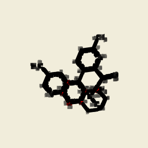 Cc1ccc(OC2CC3CCC2N(C(=O)c2nc(C)ccc2-c2ncccc2C)C3)nc1